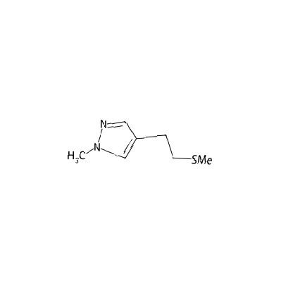 CSCCc1cnn(C)c1